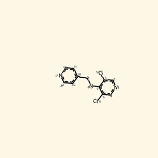 Clc1cncc(Cl)c1[N]Cc1ccncc1